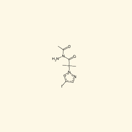 CC(=O)N(N)C(=O)C(C)(C)n1cc(I)cn1